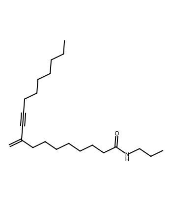 C=C(C#CCCCCCCC)CCCCCCCC(=O)NCCC